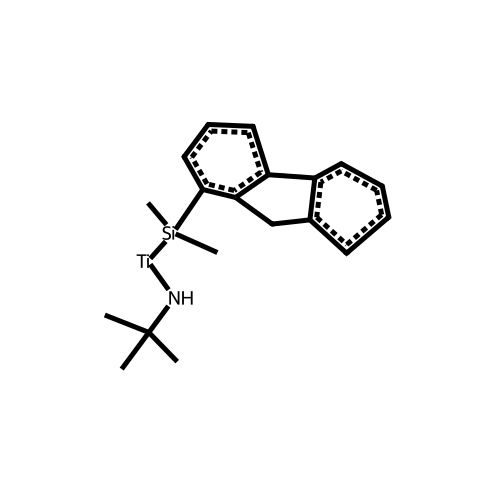 CC(C)(C)[NH][Ti][Si](C)(C)c1cccc2c1Cc1ccccc1-2